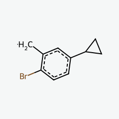 [CH2]c1cc(C2CC2)ccc1Br